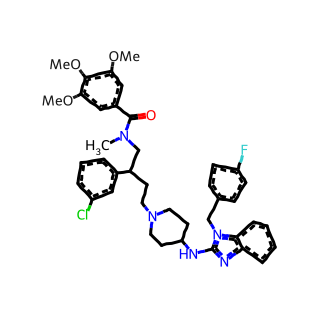 COc1cc(C(=O)N(C)CC(CCN2CCC(Nc3nc4ccccc4n3Cc3ccc(F)cc3)CC2)c2cccc(Cl)c2)cc(OC)c1OC